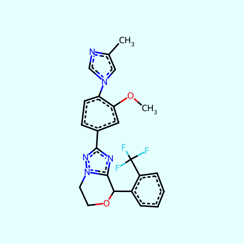 COc1cc(-c2nc3n(n2)CCOC3c2ccccc2C(F)(F)F)ccc1-n1cnc(C)c1